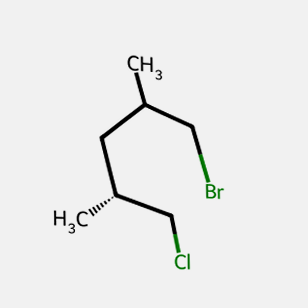 CC(CBr)C[C@@H](C)CCl